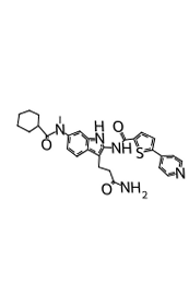 CN(C(=O)C1CCCCC1)c1ccc2c(CCC(N)=O)c(NC(=O)c3ccc(-c4ccncc4)s3)[nH]c2c1